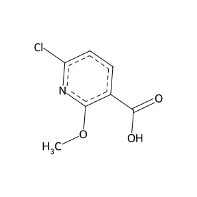 COc1nc(Cl)ccc1C(=O)O